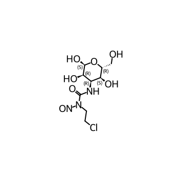 O=NN(CCCl)C(=O)N[C@H]1[C@@H](O)[C@@H](O)O[C@H](CO)[C@H]1O